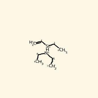 C=C[SiH](CC)N(CC)CC